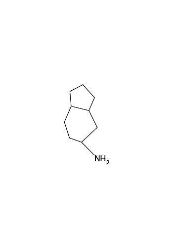 NC1CCC2CCCC2C1